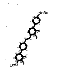 CCCCOc1ccc(-c2ccc(CCc3ccc(-c4ccc(OCC)c(F)c4F)cc3)c(F)c2F)cn1